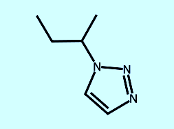 CCC(C)n1ccnn1